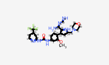 COc1cc(NC(=O)Nc2cc(C(F)(F)F)ccn2)ccc1-c1cc(CN2CCOCC2)[nH]c1/C(N)=N\C=N